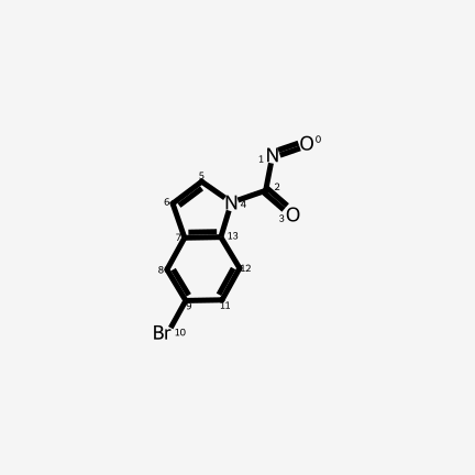 O=NC(=O)n1ccc2cc(Br)ccc21